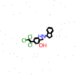 Oc1cc(C(Cl)=C(Cl)Cl)ccc1CNC1CCc2ccccc21